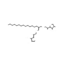 CCCCCCCCCCCCCCC(COCC(O)C1OCC(O)C1O)COCC(O)C1OCC(O)C1O